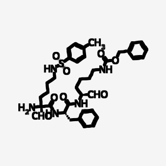 Cc1ccc(S(=O)(=O)NCCCC[C@](N)(C=O)C(=O)N[C@@H](Cc2ccccc2)C(=O)N[C@H](C=O)CCCCNC(=O)OCc2ccccc2)cc1